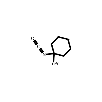 CCCC1(N=C=O)CC[CH]CC1